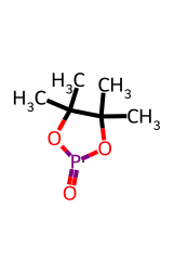 CC1(C)O[P](=O)OC1(C)C